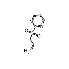 C=CCS(=O)(=O)c1ncccn1